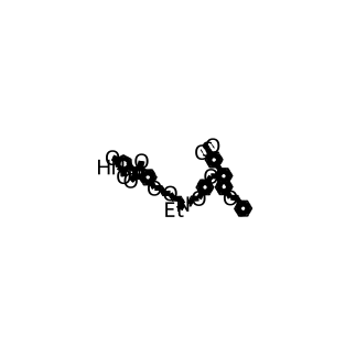 CCN(CCOCCOc1ccc2c(c1)C(=O)N(C1CCC(=O)NC1=O)C2=O)CCOc1ccc(Oc2c(-c3ccc(S(C)(=O)=O)cc3)ccc3cc(OCc4ccccc4)ccc23)cc1